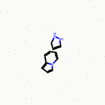 C1=CNNC1.c1ccn2cccc2c1